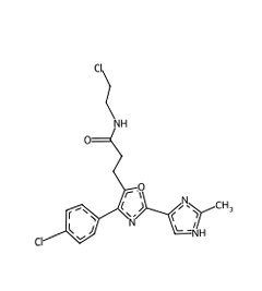 Cc1nc(-c2nc(-c3ccc(Cl)cc3)c(CCC(=O)NCCCl)o2)c[nH]1